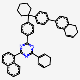 C1=CC(c2nc(-c3ccc(C4(c5ccc(-c6ccc7c(c6)C=CCC7)cc5)CCCCC4)cc3)nc(-c3cccc4ccccc34)n2)=CCC1